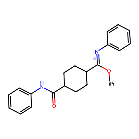 CC(C)O/C(=N\c1ccccc1)C1CCC(C(=O)Nc2ccccc2)CC1